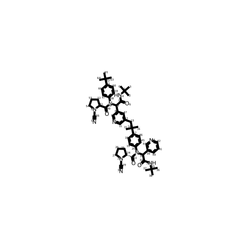 CC(C)(C)NC(=O)C(c1cncc(CC(C)(C)c2ccc(N(C(=O)[C@H]3CCCN3C#N)C(C(=O)NC(C)(C)C)c3cccnc3)cc2)c1)N(C(=O)C1CCCN1C#N)c1ccc(C(C)(C)C)cc1